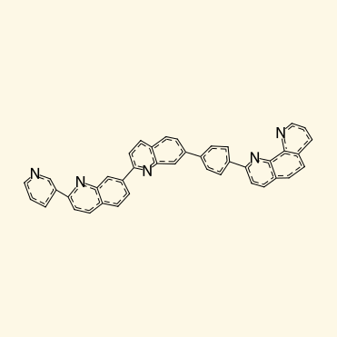 c1cncc(-c2ccc3ccc(-c4ccc5ccc(-c6ccc(-c7ccc8ccc9cccnc9c8n7)cc6)cc5n4)cc3n2)c1